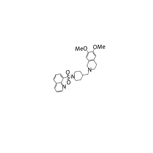 COc1cc2c(cc1OC)CN(CC1CCN(S(=O)(=O)c3cccc4cccnc34)CC1)CC2